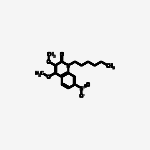 CCCCCCn1c(=O)c(OC)c(OC)c2ccc([N+](=O)[O-])cc21